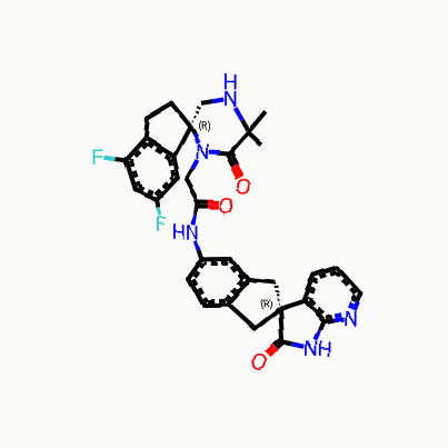 CC1(C)NC[C@]2(CCc3c(F)cc(F)cc32)N(CC(=O)Nc2ccc3c(c2)C[C@@]2(C3)C(=O)Nc3ncccc32)C1=O